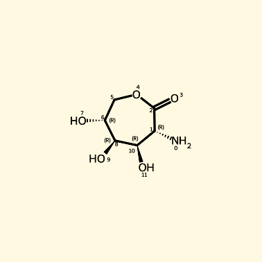 N[C@H]1C(=O)OC[C@@H](O)[C@H](O)[C@@H]1O